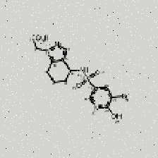 O=C(O)Cn1ncc2c1CCCC2NS(=O)(=O)c1cnc(O)c(Br)c1